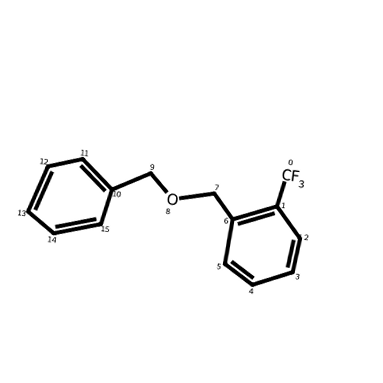 FC(F)(F)c1[c]cccc1COCc1ccccc1